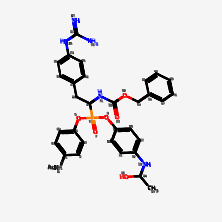 CC(=O)Nc1ccc(OP(=O)(Oc2ccc(NC(C)O)cc2)C(Cc2ccc(NC(=N)N)cc2)NC(=O)OCc2ccccc2)cc1